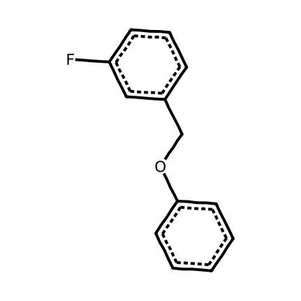 Fc1cccc(COc2ccccc2)c1